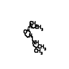 CCN(C)C[C@@H]1CN(CCNCC(C)C)CCO1